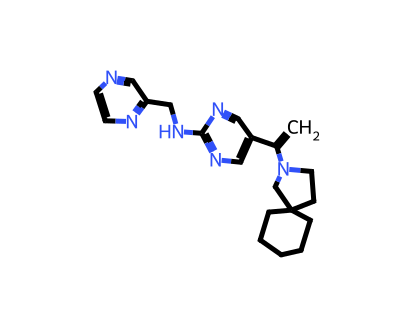 C=C(c1cnc(NCc2cnccn2)nc1)N1CCC2(CCCCC2)C1